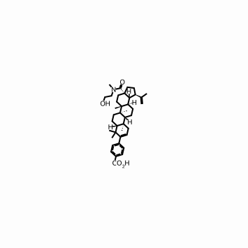 C=C(C)[C@@H]1CC[C@]2(C(=O)N(C)CCO)CC[C@]3(C)[C@H](CC[C@@H]4[C@@]5(C)CC=C(c6ccc(C(=O)O)cc6)C(C)(C)[C@@H]5CC[C@]43C)[C@@H]12